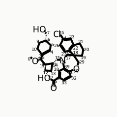 CO[C@@H](C1=CC[C@@H](CO)CC1)[C@@H]1CC[C@H]1CN1CC2(CCCc3cc(Cl)ccc32)COc2ccc(C(=O)O)cc21